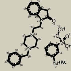 CC(=O)Nc1cccc([As](=O)(O)OO)c1.O=C1Cc2ccccc2N1CCN1CCN(Cc2ccccc2)CC1